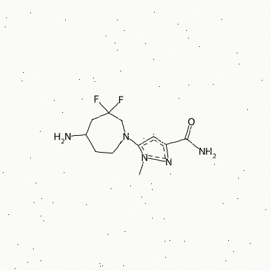 Cn1nc(C(N)=O)[c]c1N1CCC(N)CC(F)(F)C1